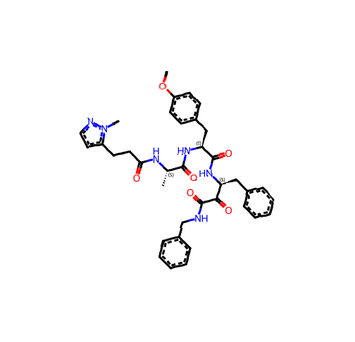 COc1ccc(C[C@H](NC(=O)[C@H](C)NC(=O)CCc2ccnn2C)C(=O)N[C@@H](Cc2ccccc2)C(=O)C(=O)NCc2ccccc2)cc1